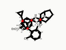 CCOC(=O)c1ccc(NC(=O)N2C3CCC2CC(OCc2c(-c4c(Cl)cccc4Cl)noc2C2CC2)C3)cc1